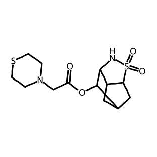 O=C(CN1CCSCC1)OC1C2CC3C1NS(=O)(=O)C3C2